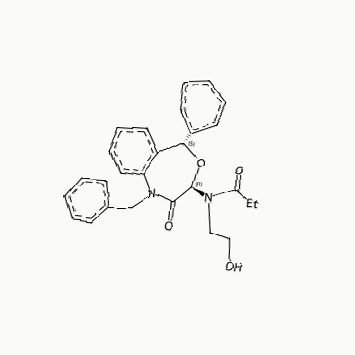 CCC(=O)N(CCO)[C@@H]1O[C@@H](c2ccccc2)c2ccccc2N(Cc2ccccc2)C1=O